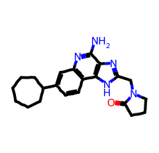 Nc1nc2cc(C3CCCCCC3)ccc2c2[nH]c(CN3CCCC3=O)nc12